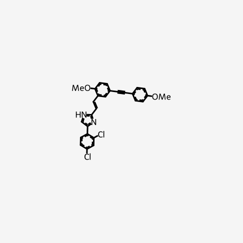 COc1ccc(C#Cc2ccc(OC)c(C=Cc3nc(-c4ccc(Cl)cc4Cl)c[nH]3)c2)cc1